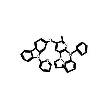 Cc1nc(N(c2ccccc2)c2ccccc2)c(-n2cccn2)cc1Oc1ccc2c3ccccc3n(-c3ccccn3)c2c1